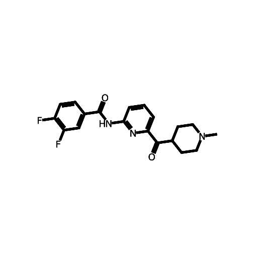 CN1CCC(C(=O)c2cccc(NC(=O)c3ccc(F)c(F)c3)n2)CC1